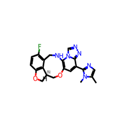 Cc1cnc(-c2cc3c(n4cnnc24)NCc2c(F)ccc4c2[C@@H](CO4)CO3)n1C